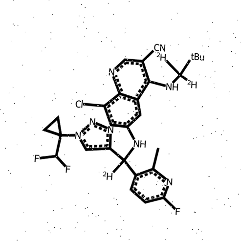 [2H]C(Nc1cc(Cl)c2ncc(C#N)c(NC([2H])([2H])C(C)(C)C)c2c1)(c1cn(C2(C(F)F)CC2)nn1)c1ccc(F)nc1C